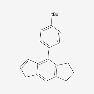 CC(C)(C)c1ccc(-c2c3c(cc4c2CCC4)CC=C3)cc1